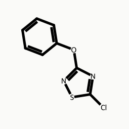 Clc1nc(Oc2ccccc2)ns1